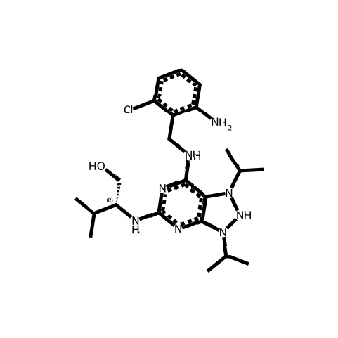 CC(C)[C@H](CO)Nc1nc(NCc2c(N)cccc2Cl)c2c(n1)N(C(C)C)NN2C(C)C